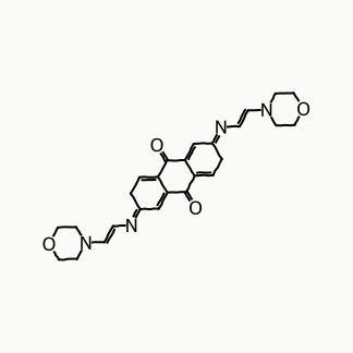 O=C1C2=CCC(=NC=CN3CCOCC3)C=C2C(=O)C2=CCC(=NC=CN3CCOCC3)C=C12